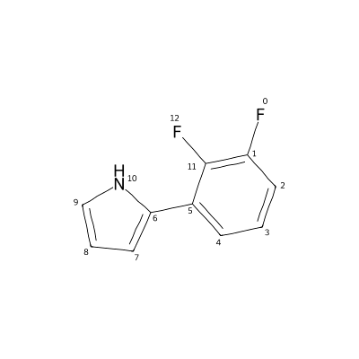 Fc1cccc(-c2ccc[nH]2)c1F